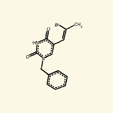 C/C(Br)=C/c1cn(Cc2ccccc2)c(=O)[nH]c1=O